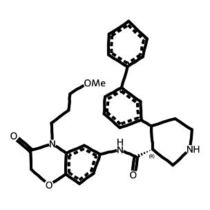 COCCCN1C(=O)COc2ccc(NC(=O)[C@H]3CNCCC3c3cccc(-c4ccccc4)c3)cc21